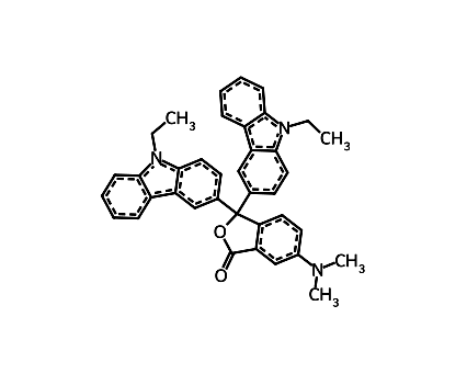 CCn1c2ccccc2c2cc(C3(c4ccc5c(c4)c4ccccc4n5CC)OC(=O)c4cc(N(C)C)ccc43)ccc21